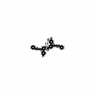 O=C(Nc1ccc(OCCOCc2ccccc2)c(-c2ccc(F)cc2)c1)c1ccc(OCCOCc2ccccc2)c(-c2ccc(F)c(F)c2)c1